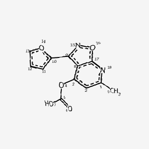 Cc1cc(OC(=O)O)c2c(-c3ccco3)noc2n1